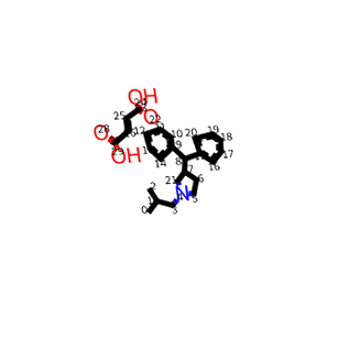 CC(C)CN1CCC(C(c2ccccc2)c2ccccc2)C1.O=C(O)C=CC(=O)O